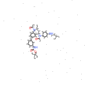 CC(=O)N(c1ccc(NCCC(C)C)cc1)[C@@H]1C[C@H](C)N(C(C)=O)c2ccc(-c3cccc(NC(=O)OC(C)(C)C)c3)cc21